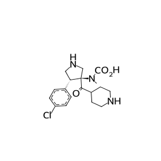 CN(C(=O)O)[C@]1(C(=O)C2CCNCC2)CNC[C@H]1c1ccc(Cl)cc1